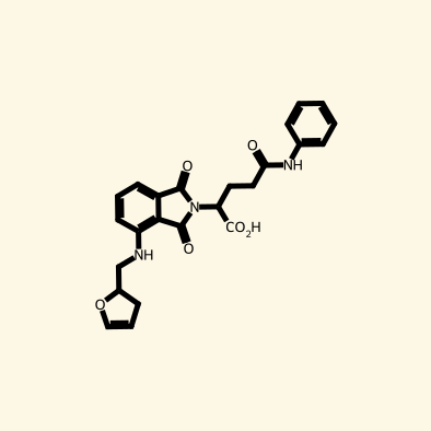 O=C(CCC(C(=O)O)N1C(=O)c2cccc(NCC3CC=CO3)c2C1=O)Nc1ccccc1